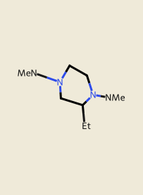 CCC1CN(NC)CCN1NC